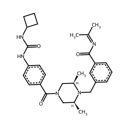 CC(C)=NC(=O)c1cccc(CN2[C@H](C)CN(C(=O)c3ccc(NC(=O)NC4CCC4)cc3)C[C@@H]2C)c1